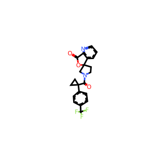 O=C1OC2(CCN(C(=O)C3(c4ccc(C(F)(F)F)cc4)CC3)C2)c2cccnc21